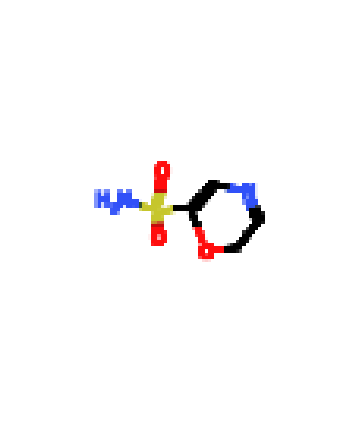 NS(=O)(=O)C1=CN=CCO1